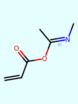 C=CC(=O)O/C(C)=N/C